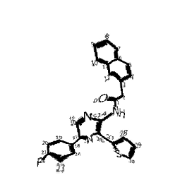 O=C(Cc1ccc2ccccc2c1)Nc1ncc(-c2ccc(F)cc2)nc1-c1cccs1